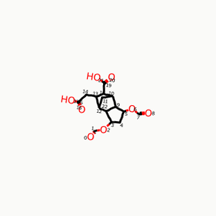 O=COC1CC(OC=O)C2C3CC(C(CC(=O)O)C3C(=O)O)C12